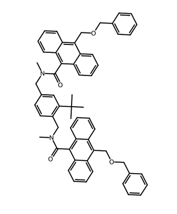 CN(Cc1ccc(CN(C)C(=O)c2c3ccccc3c(COCc3ccccc3)c3ccccc23)c(C(C)(C)C)c1)C(=O)c1c2ccccc2c(COCc2ccccc2)c2ccccc12